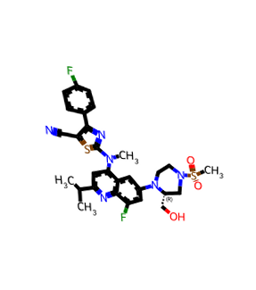 CC(C)c1cc(N(C)c2nc(-c3ccc(F)cc3)c(C#N)s2)c2cc(N3CCN(S(C)(=O)=O)C[C@@H]3CO)cc(F)c2n1